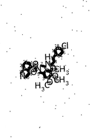 COc1cc(CN(CCNC/C=C/c2ccc(Cl)cc2)S(=O)(=O)c2cccc3cnccc23)cc(OC)c1OC